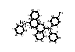 Fc1ccc(N(c2ccccc2)c2cc3c4ccccc4c(Nc4ccccc4)cc3c3ccccc23)cc1